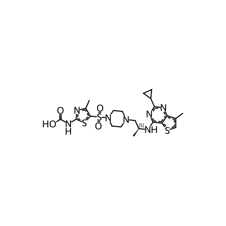 Cc1nc(NC(=O)O)sc1S(=O)(=O)N1CCN(C[C@H](C)Nc2nc(C3CC3)nc3c(C)csc23)CC1